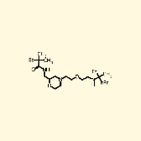 CCCC(C)(CC)NCCOCCN1CCOC(CNC(=O)C(C)(C)CC)C1